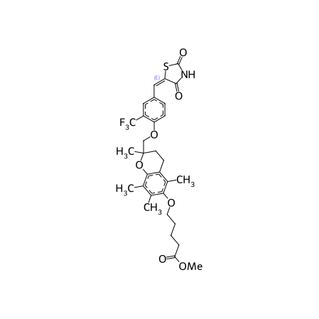 COC(=O)CCCCOc1c(C)c(C)c2c(c1C)CCC(C)(COc1ccc(/C=C3/SC(=O)NC3=O)cc1C(F)(F)F)O2